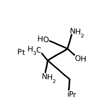 CC(C)CC(C)(N)C(N)(O)O.[Pt]